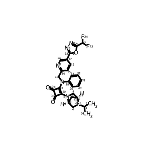 CC(C)N1C[C@@H]2C[C@H]1CN2c1c(N(Cc2ccc(-c3nnc(C(F)F)o3)cn2)c2ccccc2)c(=O)c1=O